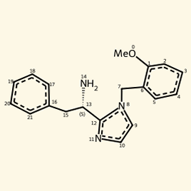 COc1ccccc1Cn1ccnc1[C@@H](N)Cc1ccccc1